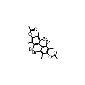 CC(=O)Oc1c(C)c(Br)c(-c2c(Br)c(C)c(OC(C)=O)c(C)c2Br)c(Br)c1C